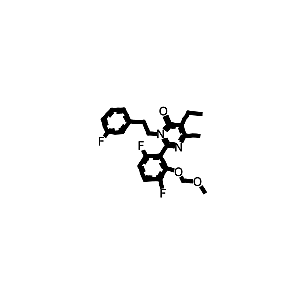 CCc1c(C)nc(-c2c(F)ccc(F)c2OCOC)n(CCc2cccc(F)c2)c1=O